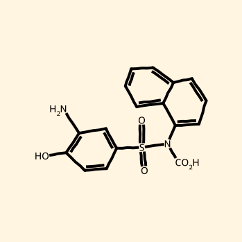 Nc1cc(S(=O)(=O)N(C(=O)O)c2cccc3ccccc23)ccc1O